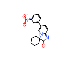 O=C1N=C2C=CC(c3cccc([N+](=O)[O-])c3)=CN2C12CCCCC2